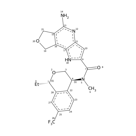 CC[C@@H]1OC[C@@H](N(C)C(=O)c2cc3nc(N)c4c(c3[nH]2)COC4)c2ccc(C(F)(F)F)cc21